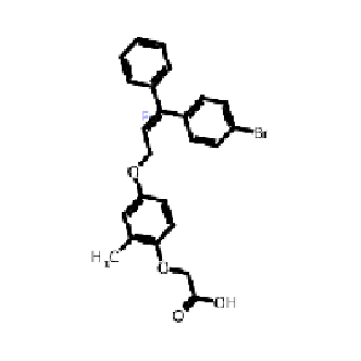 Cc1cc(OC/C=C(/c2ccccc2)c2ccc(Br)cc2)ccc1OCC(=O)O